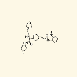 Cc1ccc(NC(=O)C(NCCN2CCOCC2)c2ccc(C=CC(=O)Nc3ccccc3N)cc2)cc1